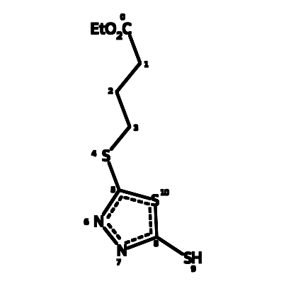 CCOC(=O)CCCSc1nnc(S)s1